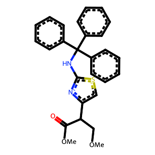 COCC(C(=O)OC)c1csc(NC(c2ccccc2)(c2ccccc2)c2ccccc2)n1